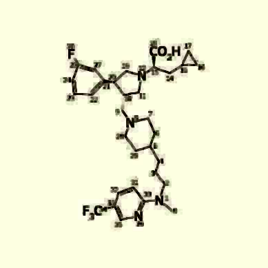 CN(CCCC1CCN(C[C@H]2CN([C@H](CC3CC3)C(=O)O)C[C@@H]2c2cccc(F)c2)CC1)c1ccc(C(F)(F)F)cn1